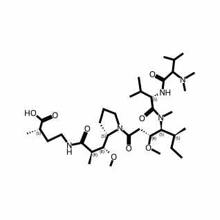 CC[C@H](C)[C@@H]([C@@H](CC(=O)N1CCC[C@H]1[C@H](OC)[C@@H](C)C(=O)NCC[C@H](C)C(=O)O)OC)N(C)C(=O)[C@@H](NC(=O)C(C(C)C)N(C)C)C(C)C